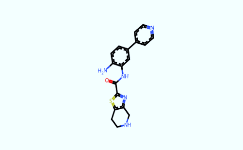 Nc1ccc(-c2ccncc2)cc1NC(=O)c1nc2c(s1)CCNC2